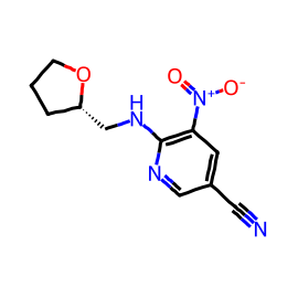 N#Cc1cnc(NC[C@@H]2CCCO2)c([N+](=O)[O-])c1